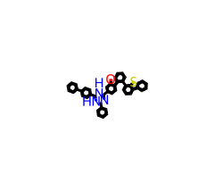 c1ccc(C2=NC(c3ccc4c(c3)oc3cccc(-c5cccc6c5sc5ccccc56)c34)NC(c3ccc(-c4ccccc4)cc3)N2)cc1